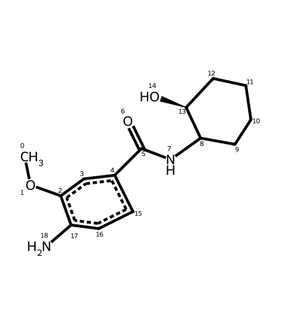 COc1cc(C(=O)NC2CCCC[C@@H]2O)ccc1N